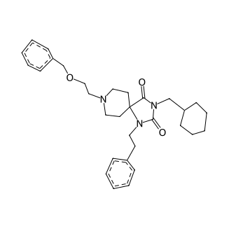 O=C1N(CC2CCCCC2)C(=O)C2(CCN(CCOCc3ccccc3)CC2)N1CCc1ccccc1